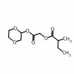 CCC(C)C(=O)OCC(=O)OC1COCCO1